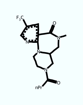 CCCC(=O)N1CCN2c3ncc(C(F)(F)F)cc3C(=O)N(C)CC2C1